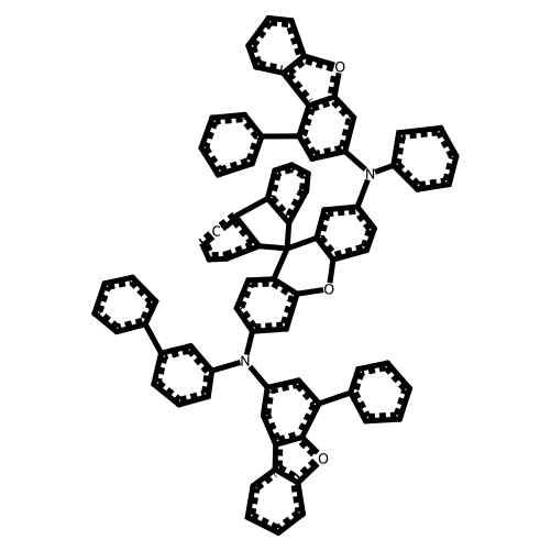 c1ccc(-c2cccc(N(c3ccc4c(c3)Oc3ccc(N(c5ccccc5)c5cc(-c6ccccc6)c6c(c5)oc5ccccc56)cc3C43c4ccccc4-c4ccccc43)c3cc(-c4ccccc4)c4oc5ccccc5c4c3)c2)cc1